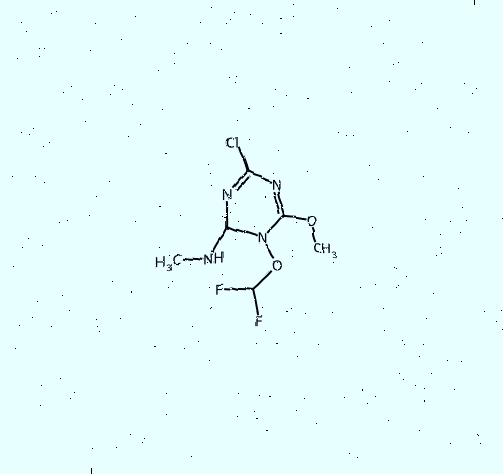 CNC1N=C(Cl)N=C(OC)N1OC(F)F